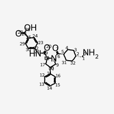 NC[C@H]1CC[C@H](C(=O)N2C[C@@H](c3ccccc3)C[C@H]2C(=O)Nc2ccc(C(=O)O)cc2)CC1